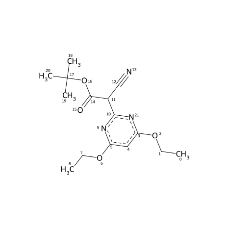 CCOc1cc(OCC)nc(C(C#N)C(=O)OC(C)(C)C)n1